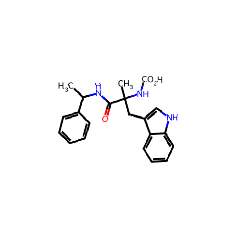 CC(NC(=O)C(C)(Cc1c[nH]c2ccccc12)NC(=O)O)c1ccccc1